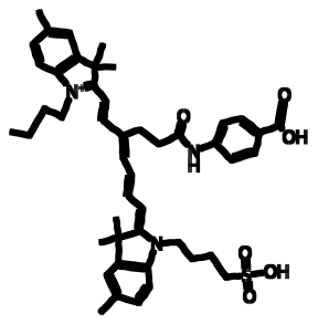 CCCC[N+]1=C(/C=C/C(=C/C=C/C=C2/N(CCCCS(=O)(=O)O)c3ccc(C)cc3C2(C)C)CCC(=O)Nc2ccc(C(=O)O)cc2)C(C)(C)c2cc(C)ccc21